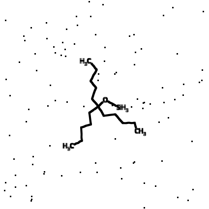 CCCCCC(CCCCC)(CCCCC)O[SiH3]